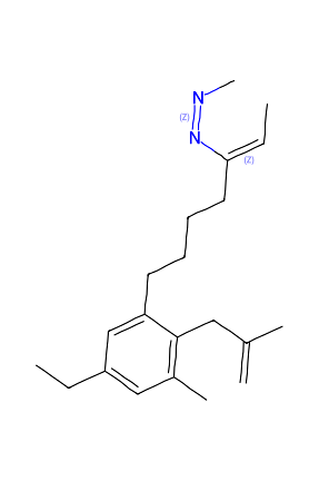 C=C(C)Cc1c(C)cc(CC)cc1CCCCC(=C/C)/N=N\C